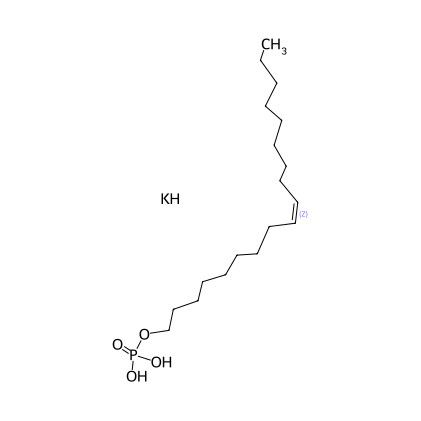 CCCCCCCC/C=C\CCCCCCCCOP(=O)(O)O.[KH]